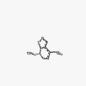 CC(C)(C)c1ccc(C(C)(C)C)c2sncc12